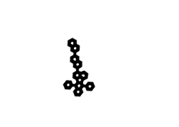 c1ccc(-c2c3c(c(-c4ccccc4)c4ccccc24)-c2ccc(-c4ccc5cc(-c6ccc7ccccc7c6)ccc5c4)c4cccc-3c24)cc1